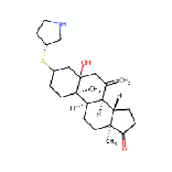 C=C1CC2(O)CC(S[C@@H]3CCNC3)CC[C@]2(C)[C@@H]2CC[C@]3(C)C(=O)CC[C@H]3[C@H]12